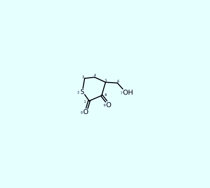 O=C1SCCC(CO)C1=O